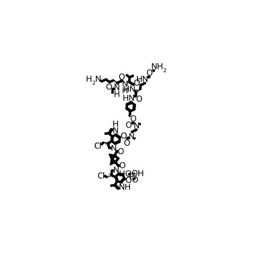 CC(=O)N[C@@H](CCCCN)C(=O)N[C@H](C(=O)N[C@@H](CCCNCOCN)C(=O)Nc1ccc(COC(=O)N(C)CCN(C)C(=O)Oc2cc3c(c4c(C)c[nH]c24)[C@H](CCl)CN3C(=O)C23CC4(C(=O)N5C[C@@H](CCl)c6c5cc(OP(=O)(O)O)c5[nH]cc(C)c65)CC24C3)cc1)C(C)C